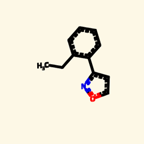 CCc1ccccc1-c1ccon1